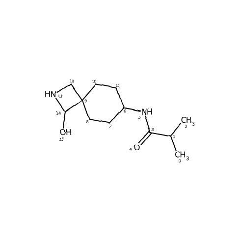 CC(C)C(=O)NC1CCC2(CC1)CNC2O